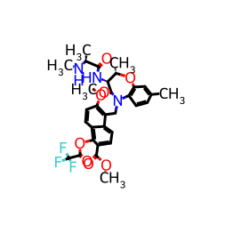 CN[C@@H](C)C(=O)N[C@@H]1C(=O)N(Cc2c(OC)ccc3c(OC(=O)C(F)(F)F)c(C(=O)OC)ccc23)c2ccc(C)cc2O[C@H]1C